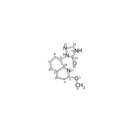 COc1ccc2cccc(-n3nc[nH]c3=O)c2n1